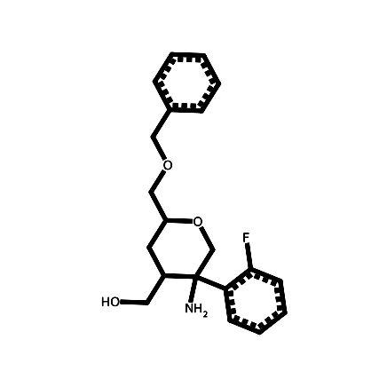 NC1(c2ccccc2F)COC(COCc2ccccc2)CC1CO